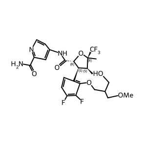 COCC(CO)COc1c([C@H]2[C@H](C(=O)Nc3ccnc(C(N)=O)c3)O[C@@](C)(C(F)(F)F)[C@H]2C)ccc(F)c1F